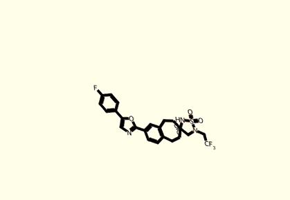 O=S1(=O)NC2(CN1CC(F)(F)F)C1CCC2Cc2cc(-c3ncc(-c4ccc(F)cc4)o3)ccc2C1